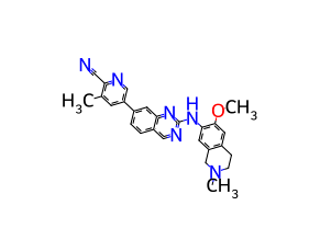 COc1cc2c(cc1Nc1ncc3ccc(-c4cnc(C#N)c(C)c4)cc3n1)CN(C)CC2